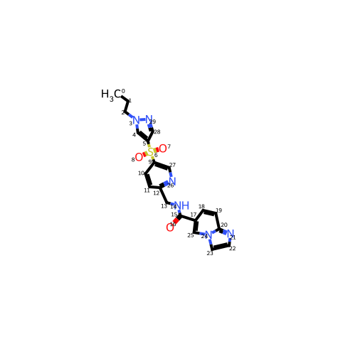 CCCn1cc(S(=O)(=O)c2ccc(CNC(=O)c3ccc4nccn4c3)nc2)cn1